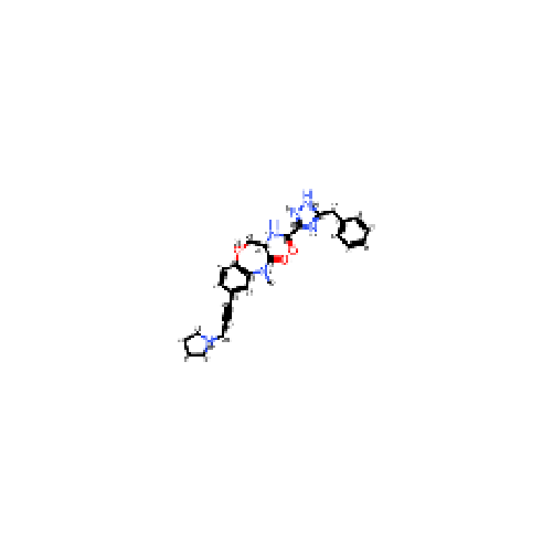 CN1C(=O)[C@H](NC(=O)c2n[nH]c(Cc3ccccc3)n2)COc2ccc(C#CCN3CCCC3)cc21